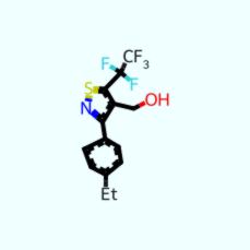 CCc1ccc(-c2nsc(C(F)(F)C(F)(F)F)c2CO)cc1